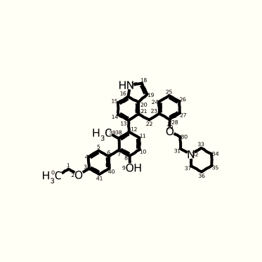 CCOc1ccc(-c2c(O)ccc(-c3ccc4[nH]ccc4c3Cc3ccccc3OCCN3CCCCC3)c2C)cc1